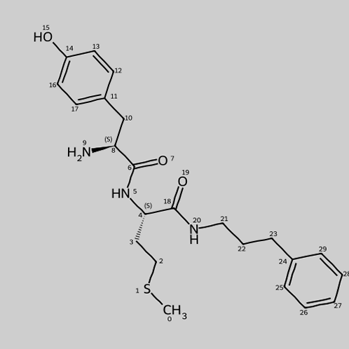 CSCC[C@H](NC(=O)[C@@H](N)Cc1ccc(O)cc1)C(=O)NCCCc1ccccc1